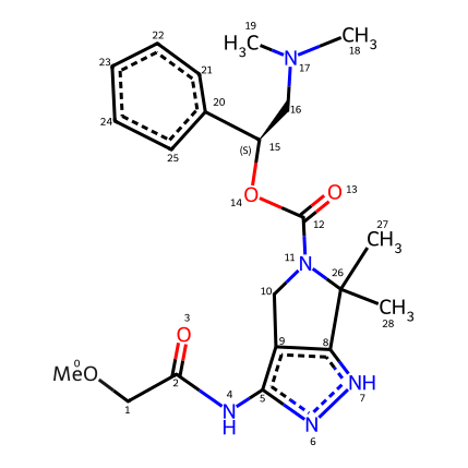 COCC(=O)Nc1n[nH]c2c1CN(C(=O)O[C@H](CN(C)C)c1ccccc1)C2(C)C